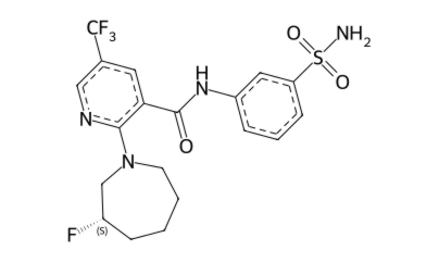 NS(=O)(=O)c1cccc(NC(=O)c2cc(C(F)(F)F)cnc2N2CCCC[C@H](F)C2)c1